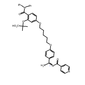 CC(C)N(C(=O)c1ccc(OCCCCCOc2ccc(/C(N)=N\C(=O)c3ccncc3)cc2)cc1OC(C)(C)C(=O)O)C(C)C